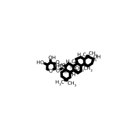 CC1(C)CC[C@]2(C(=O)OC3OCC(O)C(O)C3O)C(O)C[C@]3(C)C(=CCC4[C@@]5(C)CC[C@H](O)C(C)(C)C5CC[C@]43C)[C@@H]2C1